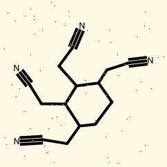 N#CCC1CCC(CC#N)C(CC#N)C1CC#N